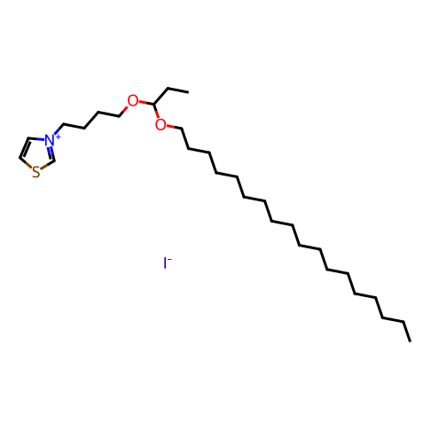 CCCCCCCCCCCCCCCCCCOC(CC)OCCCC[n+]1ccsc1.[I-]